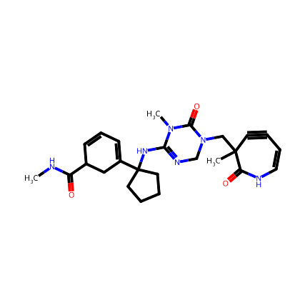 CNC(=O)C1C=CC=C(C2(NC3=NCN(CC4(C)C#CC=CNC4=O)C(=O)N3C)CCCC2)C1